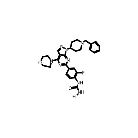 CCNC(=O)Nc1ccc(-c2nc(N3CCOCC3)c3cnn(C4CCN(Cc5ccccc5)CC4)c3n2)cc1F